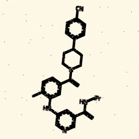 C=C(NC(C)C)c1cncc(Nc2cc(C(=C)N3CCC(c4ccc(C#N)cc4)CC3)ccc2C)c1